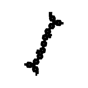 Cc1ccc(N(c2ccc(F)cc2)c2ccc(-c3ccc4c(c3)C(C)(C)c3cc(-c5ccc(-c6ccc7c(c6)C(C)(C)c6cc(-c8ccc(N(c9ccc(C)cc9)c9ccc(F)cc9)cc8)ccc6-7)cc5)ccc3-4)cc2)cc1